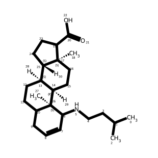 CC(C)CCNC1C=CCC2CC[C@@H]3[C@@H](CC[C@]4(C)C(C(=O)O)CC[C@@H]34)[C@]21C